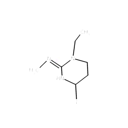 CCN1CCC(I)N/C1=N\C